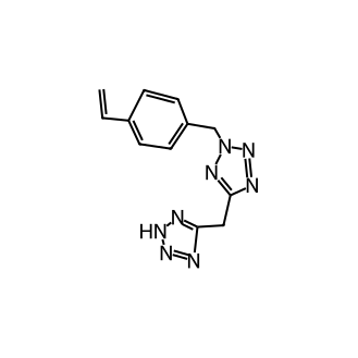 C=Cc1ccc(Cn2nnc(Cc3nn[nH]n3)n2)cc1